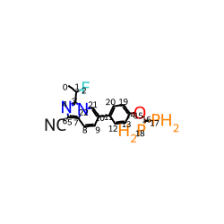 CC(F)c1nc(C#N)c2ccc(-c3ccc(OC(P)P)cc3)cn12